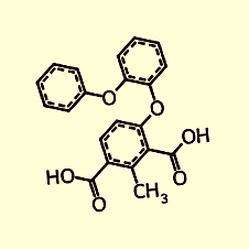 Cc1c(C(=O)O)ccc(Oc2ccccc2Oc2ccccc2)c1C(=O)O